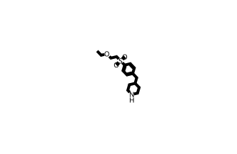 CCOCCS(=O)(=O)c1ccc(CC2CCNCC2)cc1